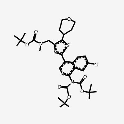 CN(Cc1nc(-c2cnc(N(C(=O)OC(C)(C)C)C(=O)OC(C)(C)C)c3cc(Cl)ccc23)sc1C1CCOCC1)C(=O)OC(C)(C)C